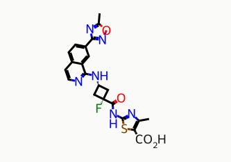 Cc1nc(-c2ccc3ccnc(N[C@H]4C[C@](F)(C(=O)Nc5nc(C)c(C(=O)O)s5)C4)c3c2)no1